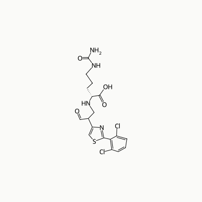 NC(=O)NCCC[C@@H](NCC(C=O)c1csc(-c2c(Cl)cccc2Cl)n1)C(=O)O